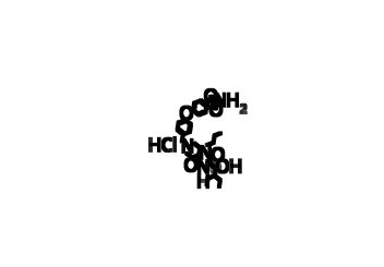 CCCCN1C(=O)[C@@H]([C@H](O)C(CC)CC)NC(=O)C12CCN(Cc1ccc(Oc3ccc(S(N)(=O)=O)cc3)cc1)CC2.Cl